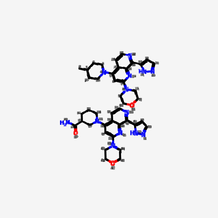 CC1CCN(c2cc(N3CCOCC3)nc3c(-c4ccn[nH]4)nccc23)CC1.NC(=O)C1CCCN(c2cc(N3CCOCC3)nc3c(-c4ccn[nH]4)nccc23)C1